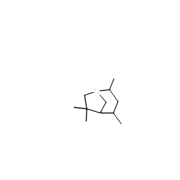 CC1CC(C)N2CC1C(C)(C)C2